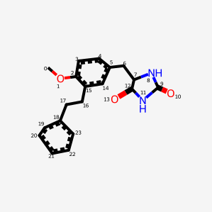 COc1ccc(CC2NC(=O)NC2=O)cc1CCc1ccccc1